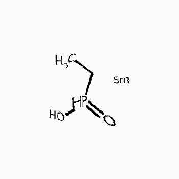 CC[PH](=O)O.[Sm]